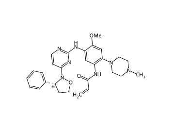 C=CC(=O)Nc1cc(Nc2nccc(N3OCC[C@@H]3c3ccccc3)n2)c(OC)cc1N1CCN(C)CC1